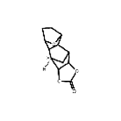 O=C1OC2C3C[C@@H](C2O1)C1C2CCC(O2)C31